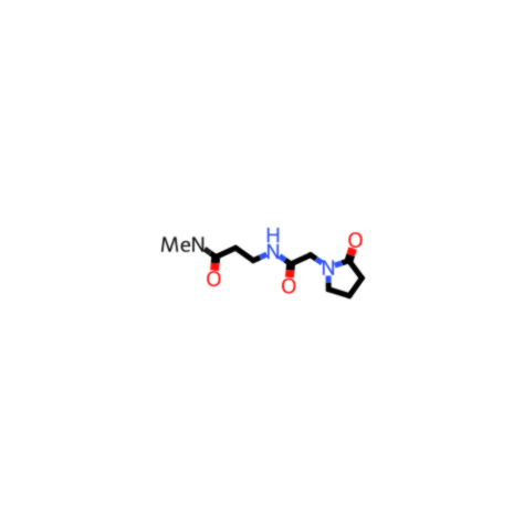 CNC(=O)CCNC(=O)CN1CCCC1=O